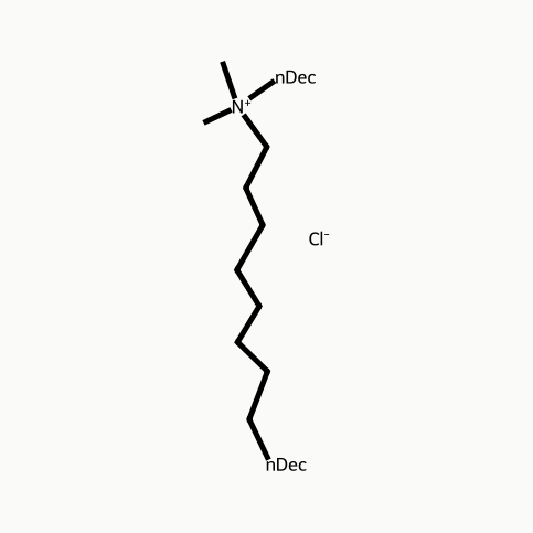 CCCCCCCCCCCCCCCCCC[N+](C)(C)CCCCCCCCCC.[Cl-]